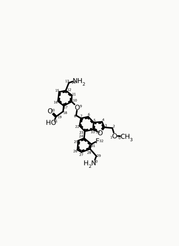 COCc1cc2cc(COc3cc(CN)ccc3CC(=O)O)cc(-c3cccc(CN)c3F)c2o1